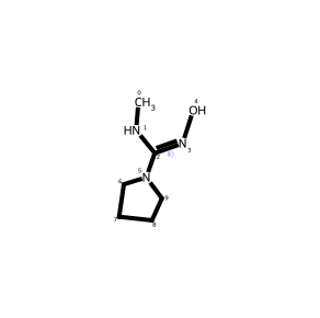 CN/C(=N\O)N1CCCC1